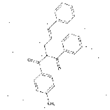 Cc1ccc(C(=O)C(C/C=C/c2ccccc2)C(=O)c2ccccc2)cc1